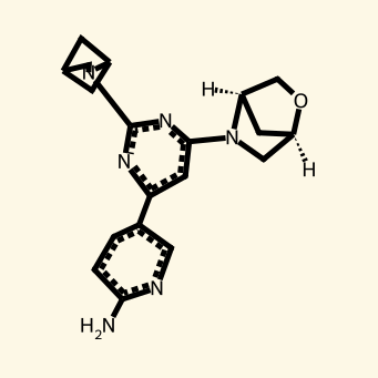 Nc1ccc(-c2cc(N3C[C@H]4C[C@@H]3CO4)nc(N3CC4CC3C4)n2)cn1